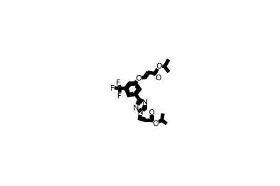 CC(C)OC(=O)/C=C\n1cnc(-c2cc(O/C=C/C(=O)OC(C)C)cc(C(F)(F)F)c2)n1